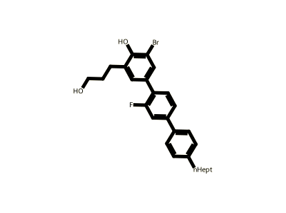 CCCCCCCc1ccc(-c2ccc(-c3cc(Br)c(O)c(CCCO)c3)c(F)c2)cc1